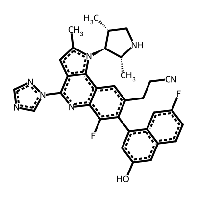 Cc1cc2c(-n3cncn3)nc3c(F)c(-c4cc(O)cc5ccc(F)cc45)c(CCC#N)cc3c2n1[C@H]1[C@H](C)CN[C@@H]1C